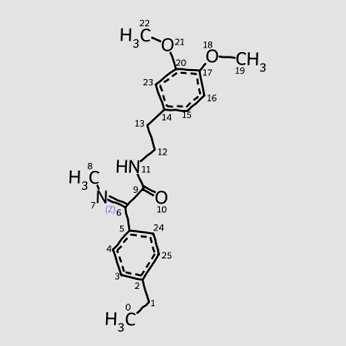 CCc1ccc(/C(=N/C)C(=O)NCCc2ccc(OC)c(OC)c2)cc1